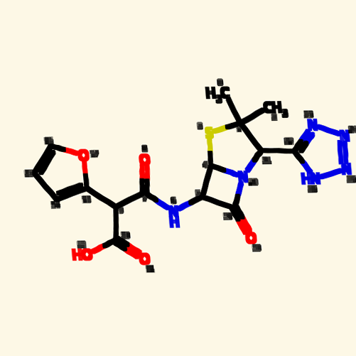 CC1(C)SC2C(NC(=O)C(C(=O)O)c3ccco3)C(=O)N2C1c1nnn[nH]1